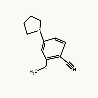 CSc1cc(N2CCCC2)ccc1C#N